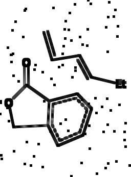 C=CC=CCC.O=C1OCc2ccccc21